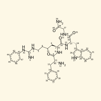 N=C(NCCCC[C@H](NC(=O)[C@H](N)Cc1ccccc1)C(=O)N[C@@H](Cc1c[nH]c2ccccc12)C(=O)NCC(N)=O)Nc1ccccc1